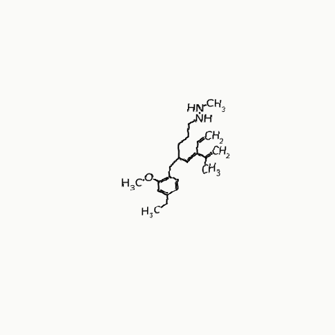 C=C/C(=C\C(CCCNNC)Cc1ccc(CC)cc1OC)C(=C)C